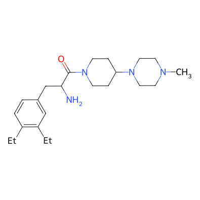 CCc1ccc(CC(N)C(=O)N2CCC(N3CCN(C)CC3)CC2)cc1CC